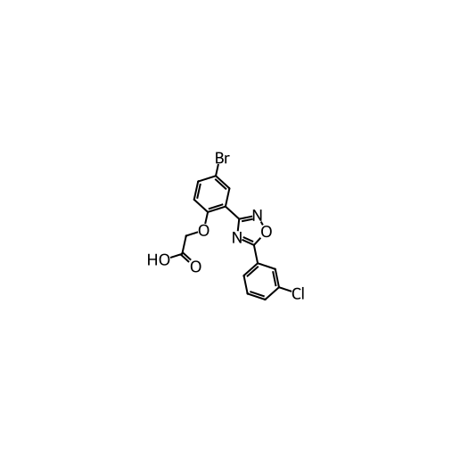 O=C(O)COc1ccc(Br)cc1-c1noc(-c2cccc(Cl)c2)n1